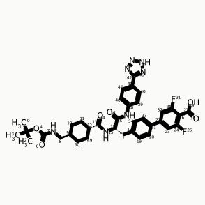 CC(C)(C)OC(=O)NC[C@H]1CC[C@H](C(=O)N[C@@H](Cc2ccc(-c3cc(F)c(C(=O)O)c(F)c3)cc2)C(=O)Nc2ccc(-c3nn[nH]n3)cc2)CC1